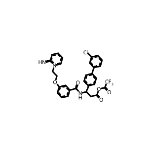 N=c1ccccn1CCOc1cccc(C(=O)NC(CC(=O)OC(=O)C(F)(F)F)c2ccc(-c3cccc(Cl)c3)cc2)c1